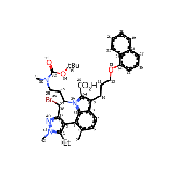 CCc1c(-c2c(C)ccc3c(CCCOc4cccc5ccccc45)c(C(=O)O)n(CCCN(C)C(=O)OC(C)(C)C)c23)c(CBr)nn1C